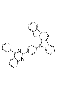 c1ccc(-c2nc(-c3ccc(-n4c5ccccc5c5ccc6c(c54)Cc4ccccc4-6)cc3)nc3ccccc23)cc1